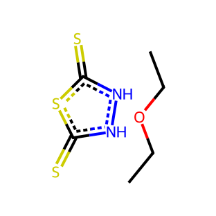 CCOCC.S=c1[nH][nH]c(=S)s1